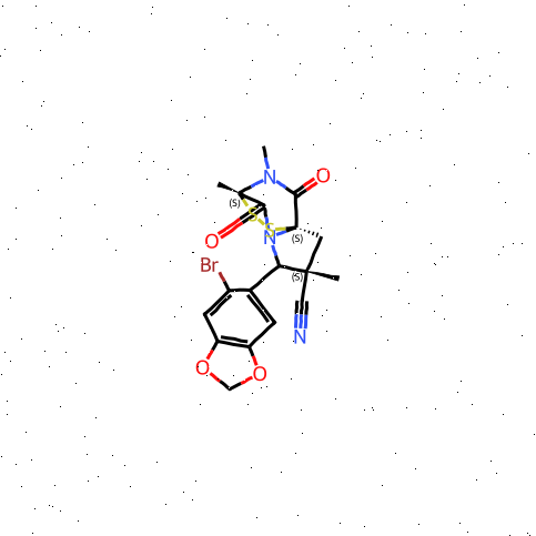 CN1C(=O)[C@@]23C[C@](C)(C#N)C(c4cc5c(cc4Br)OCO5)N2C(=O)[C@]1(C)SS3